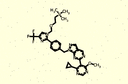 COc1ncnc(C2CC2)c1-c1ncc2cnn(Cc3ccc(-c4nc(C(F)(F)F)cn4COCC[Si](C)(C)C)cc3)c2n1